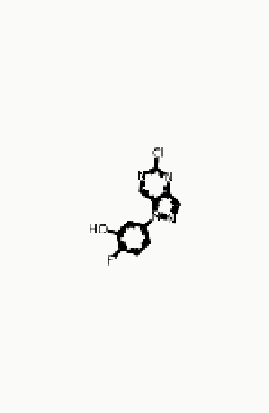 Oc1cc(-n2ncc3nc(Cl)ncc32)ccc1F